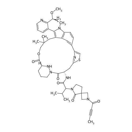 CC#CC(=O)N1CC2(CCN(C(C(=O)N[C@H]3Cc4nc(cs4)-c4ccc5c(c4)c(c(-c4cccnc4[C@H](C)OC)n5C)CC(C)(C)COC(=O)[C@@H]4CCCN(N4)C3=O)C(C)C)C2=O)C1